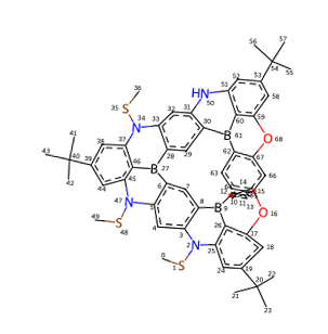 CSN1c2cc3c(cc2B2c4ccccc4Oc4cc(C(C)(C)C)cc1c42)B1c2cc4c(cc2N(SC)c2cc(C(C)(C)C)cc(c21)N3SC)Nc1cc(C(C)(C)C)cc2c1B4c1ccccc1O2